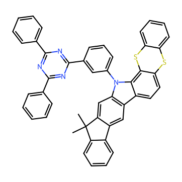 CC1(C)c2ccccc2-c2cc3c4ccc5c(c4n(-c4cccc(-c6nc(-c7ccccc7)nc(-c7ccccc7)n6)c4)c3cc21)Sc1ccccc1S5